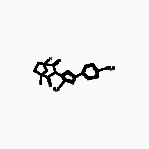 Cc1sc(-c2ccc(C(=O)O)cc2)cc1C1C(=O)[C@@H]2CC[C@@H](C2)C1=O